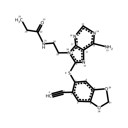 C#Cc1cc2c(cc1Sc1nc3c(N)ncnc3n1CCNC(=O)CC)OCO2